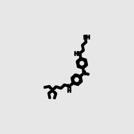 CCS(CC)(CC)CCCNc1ccc(N(C)c2ccc(NCCCS)cc2)cc1